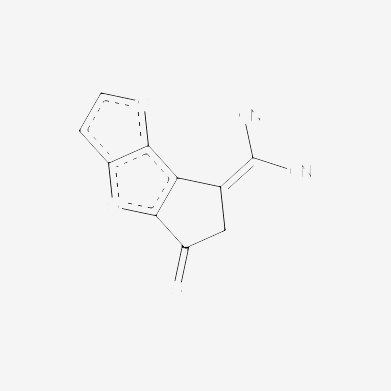 N#CC(C#N)=C1CC(=O)c2oc3ccoc3c21